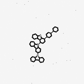 c1ccc(-c2ccc(-c3ccc(-n4c5ccccc5c5cc(-n6c7ccccc7c7ccccc76)ccc54)c4c3sc3ccccc34)cc2)cc1